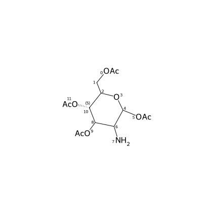 CC(=O)OCC1OC(OC(C)=O)C(N)C(OC(C)=O)[C@@H]1OC(C)=O